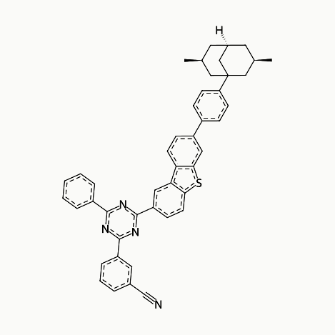 C[C@@H]1C[C@@H]2C[C@H](C)CC(c3ccc(-c4ccc5c(c4)sc4ccc(-c6nc(-c7ccccc7)nc(-c7cccc(C#N)c7)n6)cc45)cc3)(C1)C2